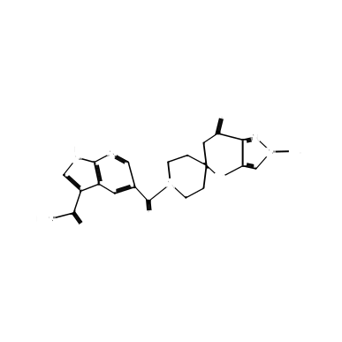 CC(C)(C)n1cc2c(n1)C(=O)CC1(CCN(C(=O)c3cnc4[nH]cc(C(N)=O)c4c3)CC1)O2